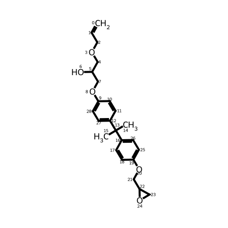 C=CCOCC(O)COc1ccc(C(C)(C)c2ccc(OCC3CO3)cc2)cc1